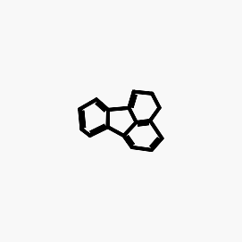 C1=C2c3ccccc3-c3cccc(c32)CC1